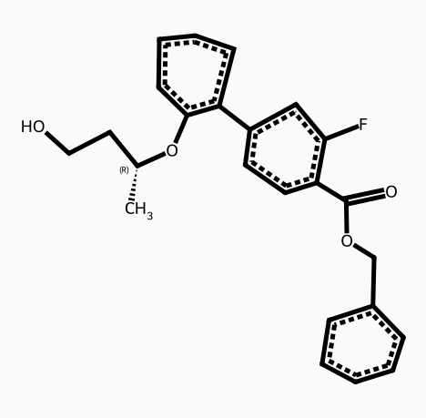 C[C@H](CCO)Oc1ccccc1-c1ccc(C(=O)OCc2ccccc2)c(F)c1